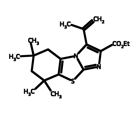 C=C(C)c1c(C(=O)OCC)nc2sc3c(n12)CC(C)(C)CC3(C)C